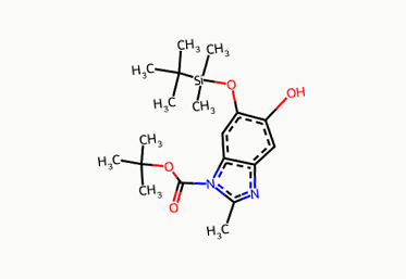 Cc1nc2cc(O)c(O[Si](C)(C)C(C)(C)C)cc2n1C(=O)OC(C)(C)C